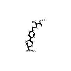 CCCCCCCc1cnc(-c2ccc(CCC(Br)C(C)C(=O)O)cc2)cn1